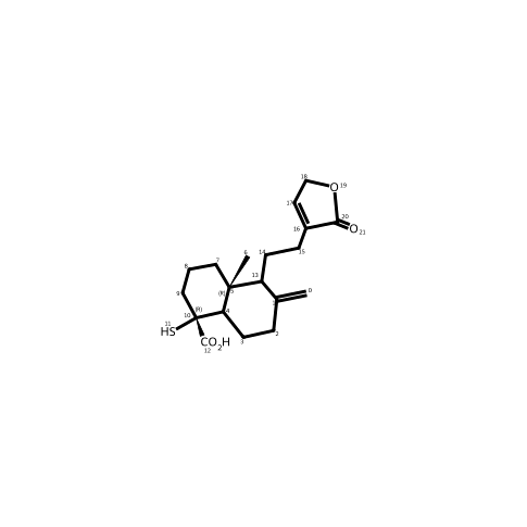 C=C1CCC2[C@](C)(CCC[C@]2(S)C(=O)O)C1CCC1=CCOC1=O